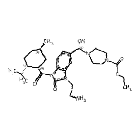 CCOC(=O)N1CCN([C@@H](O)c2ccc3c(c2)n(CCN)c(=O)n3C(=O)[C@@H]2C[C@H](C)CC[C@H]2C(C)C)CC1